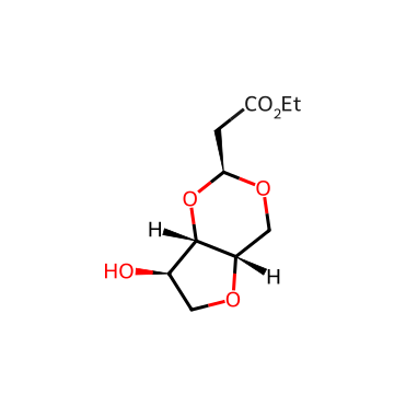 CCOC(=O)C[C@H]1OC[C@@H]2OC[C@@H](O)[C@@H]2O1